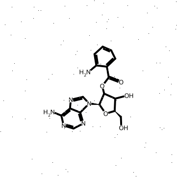 Nc1ccccc1C(=O)OC1C(O)[C@@H](CO)O[C@H]1n1cnc2c(N)ncnc21